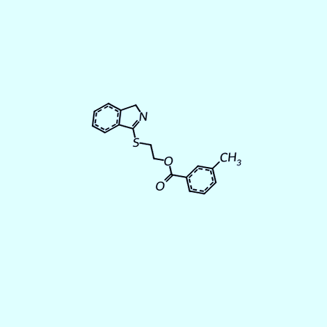 Cc1cccc(C(=O)OCCSC2=NCc3ccccc32)c1